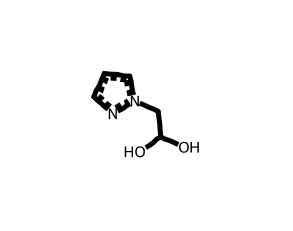 OC(O)Cn1cccn1